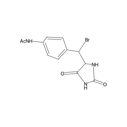 CC(=O)Nc1ccc(C(Br)C2NC(=O)NC2=O)cc1